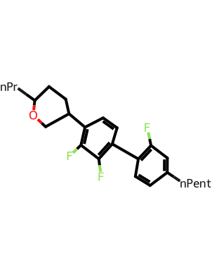 CCCCCc1ccc(-c2ccc(C3CCC(CCC)OC3)c(F)c2F)c(F)c1